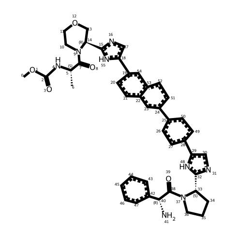 COC(=O)N[C@@H](C)C(=O)N1CCOC[C@H]1c1ncc(-c2ccc3cc(-c4ccc(-c5cnc([C@@H]6CCCN6C(=O)[C@H](N)c6ccccc6)[nH]5)cc4)ccc3c2)[nH]1